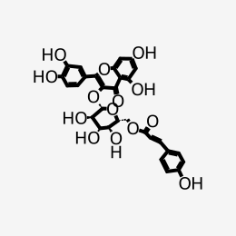 O=C(/C=C/c1ccc(O)cc1)OC[C@H]1O[C@@H](Oc2c(-c3ccc(O)c(O)c3)oc3cc(O)cc(O)c3c2=O)[C@H](O)[C@@H](O)[C@@H]1O